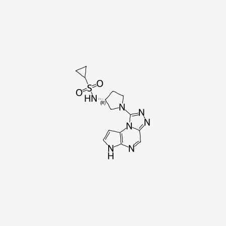 O=S(=O)(N[C@@H]1CCN(c2nnc3cnc4[nH]ccc4n23)C1)C1CC1